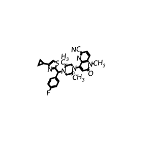 C[C@@H]1CN(c2cc(=O)n(C)c3ccc(C#N)nc23)[C@@H](C)CN1C(c1ccc(F)cc1)c1nc(C2CC2)cs1